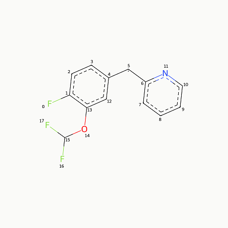 Fc1ccc([CH]c2ccccn2)cc1OC(F)F